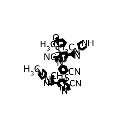 Cc1c(-c2cc(Sc3cccc(=O)n3C)c3c(C#N)c[n+](-c4ccc(Sc5cc(-c6cnn(C7CCN(C)CC7)c6C)cn6ncc(C#N)c56)c(C#N)c4)n3c2)cnn1C1CCNCC1